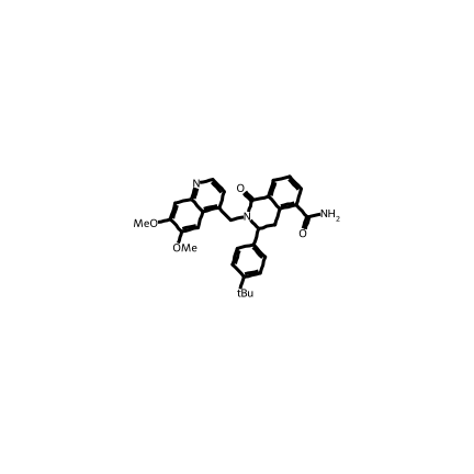 COc1cc2nccc(CN3C(=O)c4cccc(C(N)=O)c4CC3c3ccc(C(C)(C)C)cc3)c2cc1OC